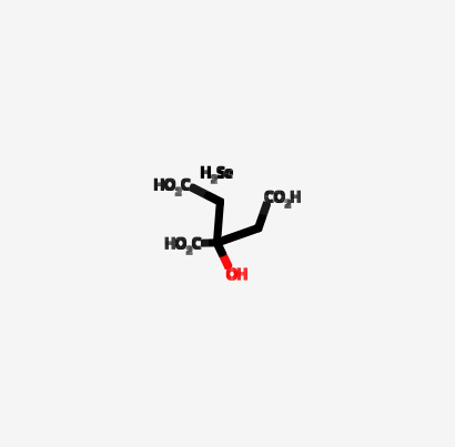 O=C(O)CC(O)(CC(=O)O)C(=O)O.[SeH2]